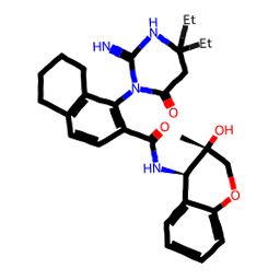 CCC1(CC)CC(=O)N(c2c(C(=O)N[C@@H]3c4ccccc4OC[C@@]3(C)O)ccc3c2CCCC3)C(=N)N1